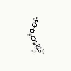 CC(C)(C)OC(=O)NCC1CCC(Nc2ccc(N3CCC(C(F)(F)F)CC3)cc2)CC1